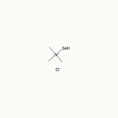 C[N+](C)(C)[SeH].[Cl-]